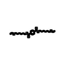 C=COCCCCCCOC(=O)c1ccc(C(=O)OCCCCCCOC=C)cc1